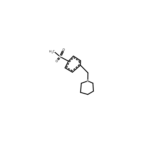 CS(=O)(=O)c1ccc(CN2CCCCC2)cc1